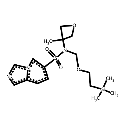 CC1(N(COCC[Si](C)(C)C)S(=O)(=O)c2ccc3cncn3c2)COC1